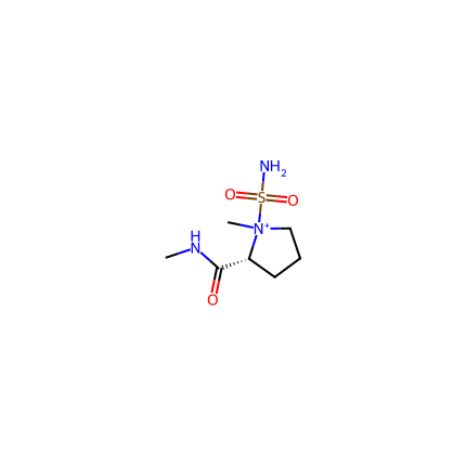 CNC(=O)[C@H]1CCC[N+]1(C)S(N)(=O)=O